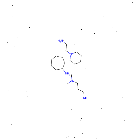 CN(C)CCCN.NC1CCCCCC1.NCCN1CCCCC1